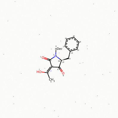 CCCCCCCCCCN1C(=O)/C(=C(/C)O)C(=O)[C@@H]1Cc1ccccc1